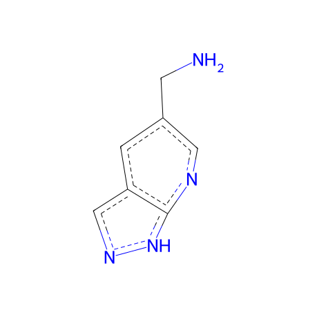 NCc1cnc2[nH]ncc2c1